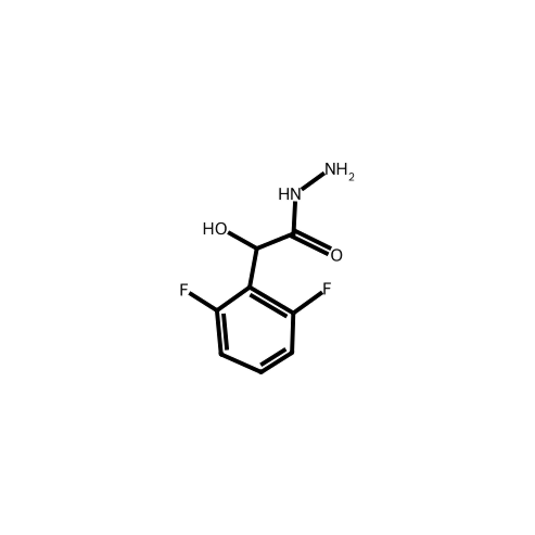 NNC(=O)C(O)c1c(F)cccc1F